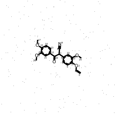 C=COc1ccc(C(C#N)C(=O)c2ccc(OC)c(OC)c2)cc1OC